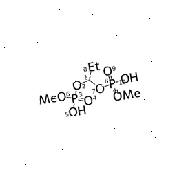 CCC(OP(=O)(O)OC)OP(=O)(O)OC